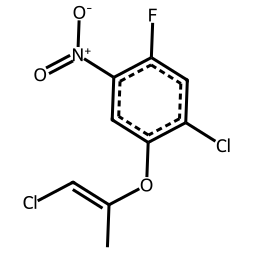 CC(=CCl)Oc1cc([N+](=O)[O-])c(F)cc1Cl